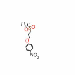 CS(=O)(=O)CCCOc1ccc([N+](=O)[O-])cc1